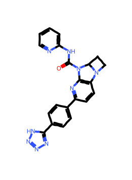 O=C(Nc1ccccn1)N1c2nc(-c3ccc(-c4nnn[nH]4)cc3)ccc2N2CCC21